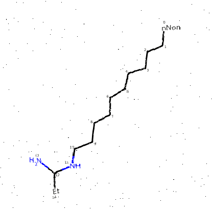 CCCCCCCCCCCCCCCCCCCNC(N)CC